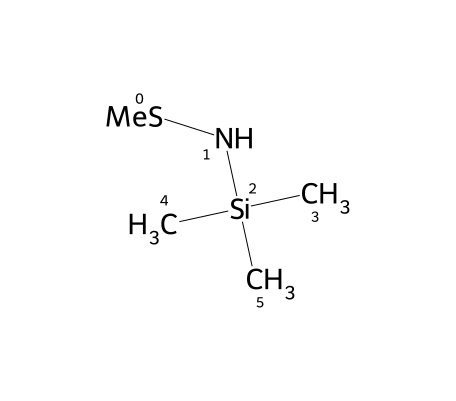 CSN[Si](C)(C)C